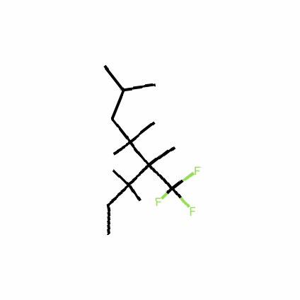 CCC(C)(C)C(C)(C(F)(F)F)C(C)(C)CC(C)C